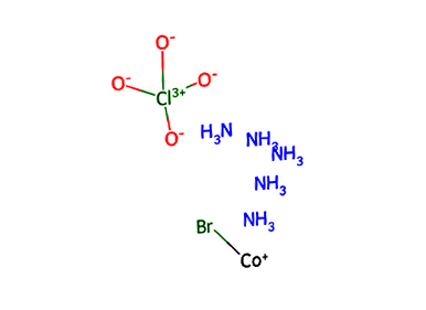 N.N.N.N.N.[Co+][Br].[O-][Cl+3]([O-])([O-])[O-]